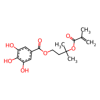 C=C(C)C(=O)OC(C)(C)CCOC(=O)c1cc(O)c(O)c(O)c1